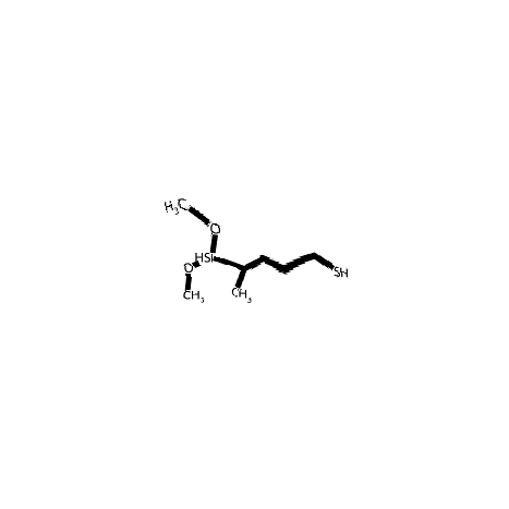 CO[SiH](OC)C(C)CCCS